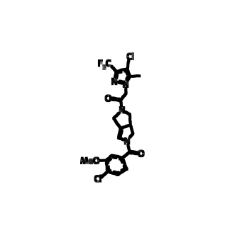 COc1cc(C(=O)N2C=C3CN(C(=O)Cn4nc(C(F)(F)F)c(Cl)c4C)CC3C2)ccc1Cl